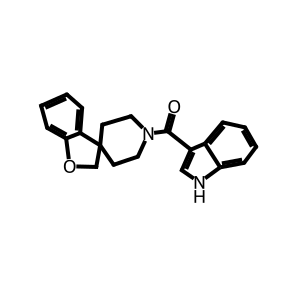 O=C(c1c[nH]c2ccccc12)N1CCC2(CC1)COc1ccccc12